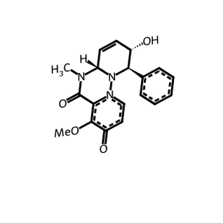 COc1c2n(ccc1=O)N1[C@H](c3ccccc3)[C@@H](O)C=C[C@H]1N(C)C2=O